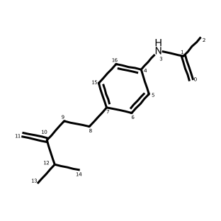 C=C(C)Nc1ccc(CCC(=C)C(C)C)cc1